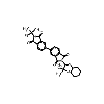 CCC(C)(C)/C(=N\C1CCCCC1)N1C(=O)c2ccc(-c3ccc4c(c3)C(=O)N(C(C)(C)CC)C4=O)cc2C1=O